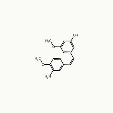 COc1cc(O)cc(/C=C\c2ccc(OC)c(N)c2)c1